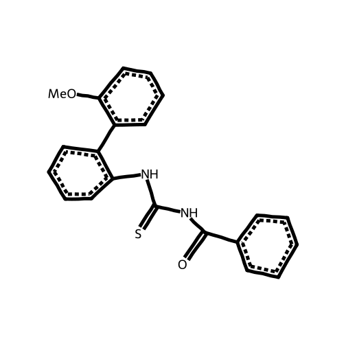 COc1ccccc1-c1ccccc1NC(=S)NC(=O)c1ccccc1